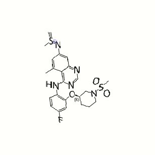 C#S(/C)=N/c1cc(C)c2c(Nc3ccc(F)cc3O[C@@H]3CCCN(S(C)(=O)=O)C3)ncnc2c1